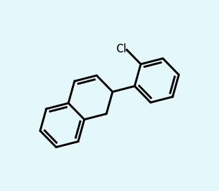 Clc1ccccc1C1C=Cc2ccccc2C1